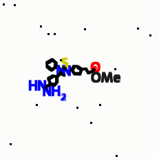 COC(=O)CCc1ccc(-n2cc(-c3ccc(C(=N)N)cc3)n(-c3ccccc3)c2=S)cc1